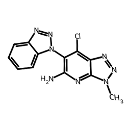 Cn1nnc2c(Cl)c(-n3nnc4ccccc43)c(N)nc21